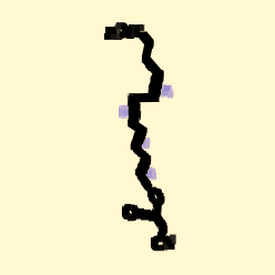 CCCCCCCCCCCC\C=C/C=C\C=C\C=C\OC(=O)CC#N